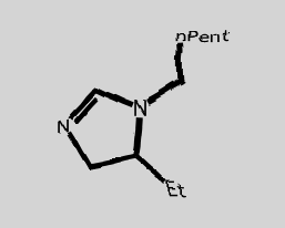 CCCCCCN1C=NCC1CC